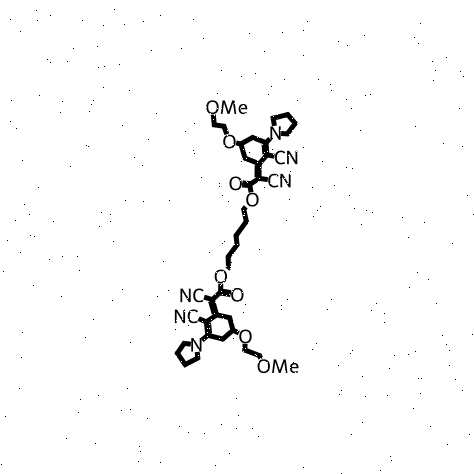 COCCOC1CC(N2CCCC2)=C(C#N)/C(=C(\C#N)C(=O)OCCCCCCOC(=O)/C(C#N)=C2\CC(OCCOC)CC(N3CCCC3)=C2C#N)C1